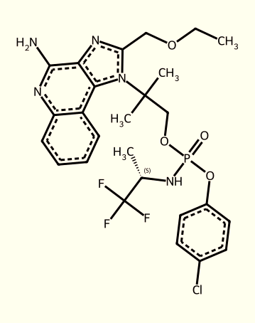 CCOCc1nc2c(N)nc3ccccc3c2n1C(C)(C)COP(=O)(N[C@@H](C)C(F)(F)F)Oc1ccc(Cl)cc1